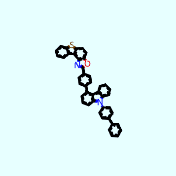 c1ccc(-c2ccc(-n3c4ccccc4c4c(-c5ccc(-c6nc7c(ccc8sc9ccccc9c87)o6)cc5)cccc43)cc2)cc1